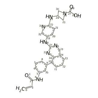 C=CC(=O)Nc1cccc(-c2cccc3cnc(Nc4ccc(NC5CN(C(=O)O)C5)nc4)nc23)c1